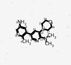 Cc1ncc(N)cc1-c1cnc(N(C)C)c(N2CCOCC2)c1